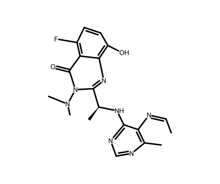 C/C=N\c1c(C)ncnc1N[C@@H](C)c1nc2c(O)ccc(F)c2c(=O)n1N(C)C